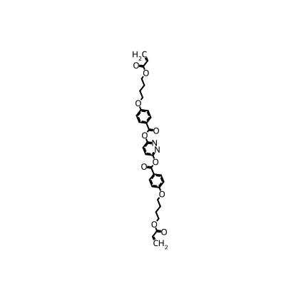 C=CC(=O)OCCCCOc1ccc(C(=O)Oc2ccc(OC(=O)c3ccc(OCCCCOC(=O)C=C)cc3)nn2)cc1